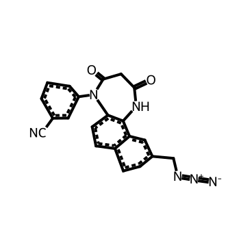 N#Cc1cccc(N2C(=O)CC(=O)Nc3c2ccc2ccc(CN=[N+]=[N-])cc32)c1